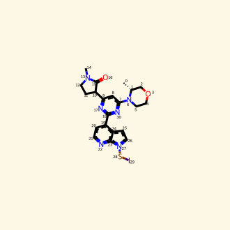 C[C@@H]1COCCN1c1cc(C2CCN(C)C2=O)nc(-c2ccnc3c2ccn3SI)n1